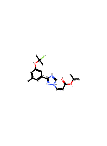 Cc1cc(OC(C)(C)F)cc(-c2ncn(/C=C\C(=O)OC(C)C)n2)c1